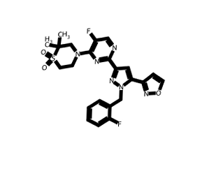 CC1(C)CN(c2nc(-c3cc(-c4ccon4)n(Cc4ccccc4F)n3)ncc2F)CCS1(=O)=O